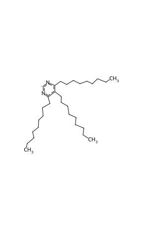 CCCCCCCCCc1n[c]nc(CCCCCCCCC)c1CCCCCCCCC